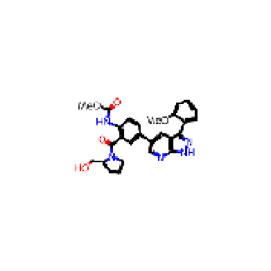 COC(=O)Nc1ccc(-c2cnc3[nH]nc(-c4ccccc4OC)c3c2)cc1C(=O)N1CCC[C@H]1CO